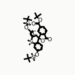 CC(C)(C)OC(=O)c1ccc2c(c1)C1(OC2=O)c2ccc(O[Si](C)(C)C(C)(C)C)cc2[Si](C)(C)c2cc(O[Si](C)(C)C(C)(C)C)ccc21